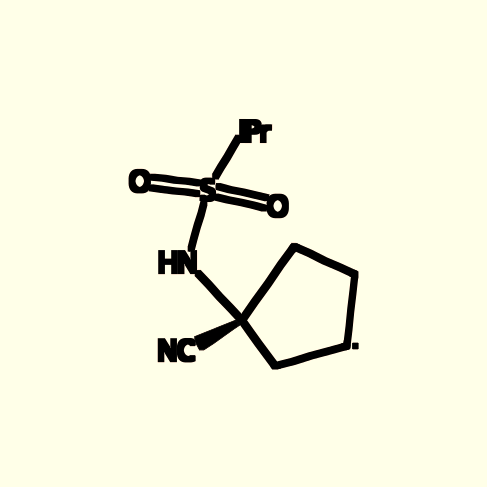 CC(C)S(=O)(=O)N[C@@]1(C#N)C[CH]CC1